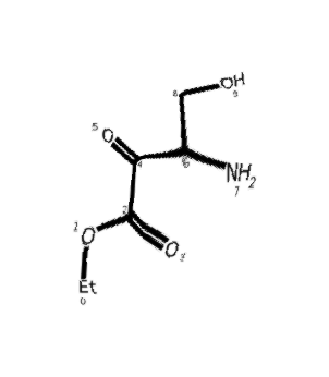 CCOC(=O)C(=O)C(N)CO